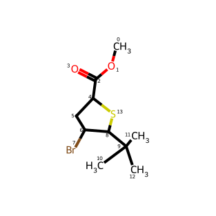 COC(=O)C1CC(Br)C(C(C)(C)C)S1